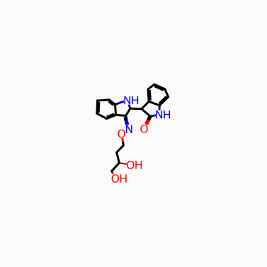 O=C1Nc2ccccc2C1C1Nc2ccccc2/C1=N\OCC[C@@H](O)CO